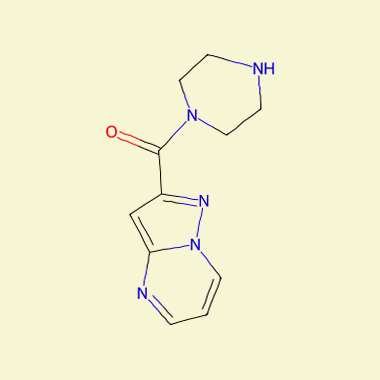 O=C(c1cc2ncccn2n1)N1CCNCC1